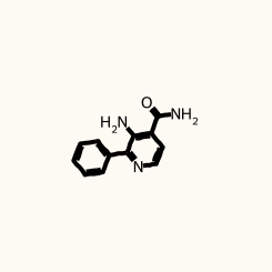 NC(=O)c1ccnc(-c2ccccc2)c1N